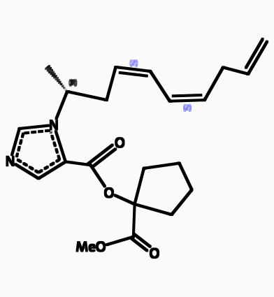 C=CC/C=C\C=C/C[C@@H](C)n1cncc1C(=O)OC1(C(=O)OC)CCCC1